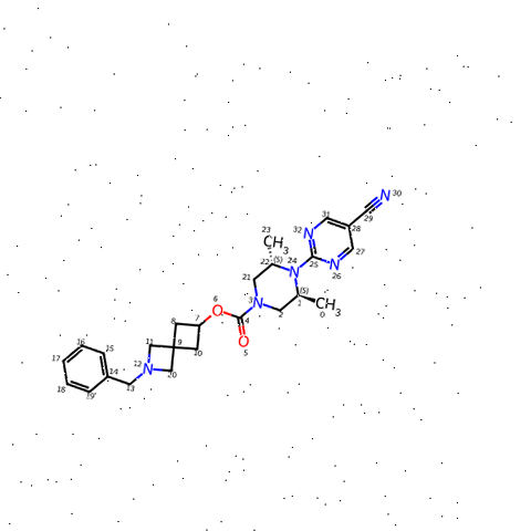 C[C@H]1CN(C(=O)OC2CC3(C2)CN(Cc2ccccc2)C3)C[C@H](C)N1c1ncc(C#N)cn1